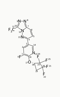 Fc1cc(-c2ccc3nnc(C(F)(F)F)n3n2)cnc1O[C@H]1CC(F)(F)C1(F)F